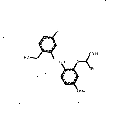 COc1ccc(C=O)c(OC(C(=O)O)C(C)C)c1.NCc1ccc(Cl)cc1F